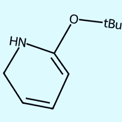 CC(C)(C)OC1=CC=CCN1